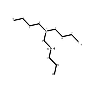 CCCCN(CCCI)CNCCC